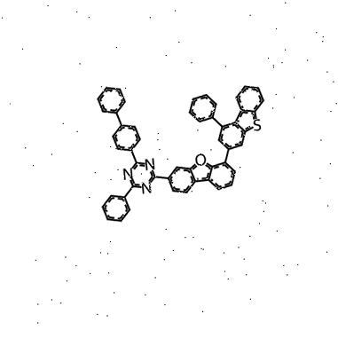 c1ccc(-c2ccc(-c3nc(-c4ccccc4)nc(-c4ccc5c(c4)oc4c(-c6cc(-c7ccccc7)c7c(c6)sc6ccccc67)cccc45)n3)cc2)cc1